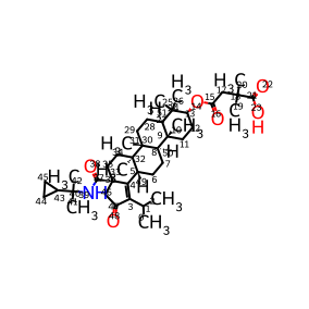 CC(C)C1=C2[C@H]3CC[C@@H]4[C@@]5(C)CC[C@H](OC(=O)CC(C)(C)C(=O)O)C(C)(C)[C@@H]5CC[C@@]4(C)[C@]3(C)CC[C@@]2(C(=O)NC(C)(C)C2CC2)CC1=O